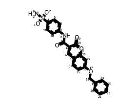 NS(=O)(=O)c1ccc(NC(=O)c2cc3ccc(OCc4ccccc4)cc3oc2=O)cc1